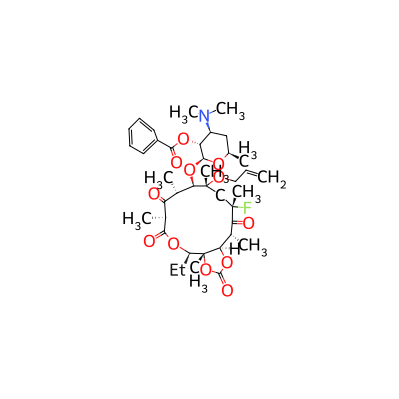 C=CCO[C@]1(C)C[C@](C)(F)C(=O)[C@H](C)[C@H]2OC(=O)O[C@]2(C)[C@@H](CC)OC(=O)[C@H](C)C(=O)[C@H](C)[C@H]1O[C@@H]1O[C@H](C)C[C@H](N(C)C)[C@H]1OC(=O)c1ccccc1